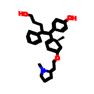 C[C@@H]1CC(OCCC2CCCN2C)=CC=C1/C(=C(/CCCO)c1ccccc1)c1ccc(O)cc1